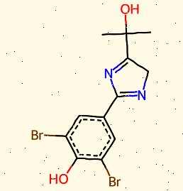 CC(C)(O)C1=NC(c2cc(Br)c(O)c(Br)c2)=NC1